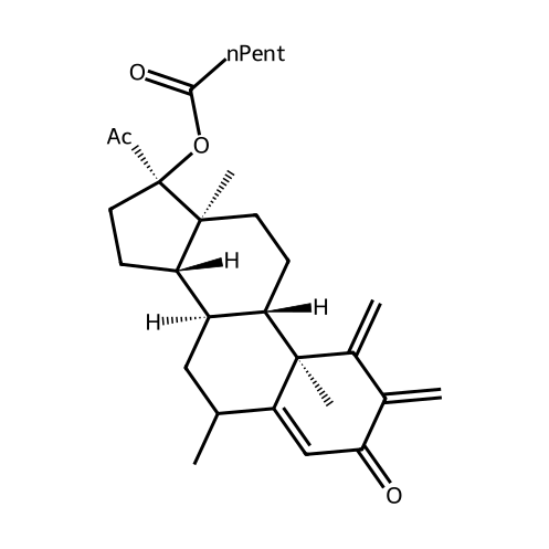 C=C1C(=C)[C@@]2(C)C(=CC1=O)C(C)C[C@@H]1[C@@H]2CC[C@@]2(C)[C@H]1CC[C@]2(OC(=O)CCCCC)C(C)=O